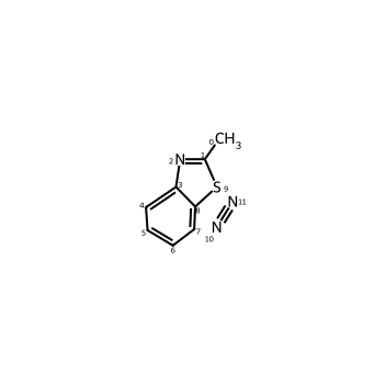 Cc1nc2ccccc2s1.N#N